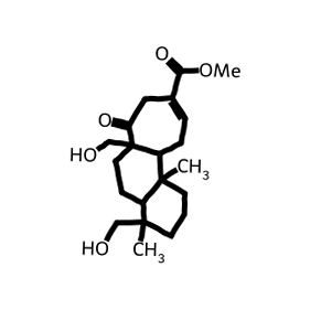 COC(=O)C1=CCC2C(CO)(CCC3C(C)(CO)CCCC32C)C(=O)C1